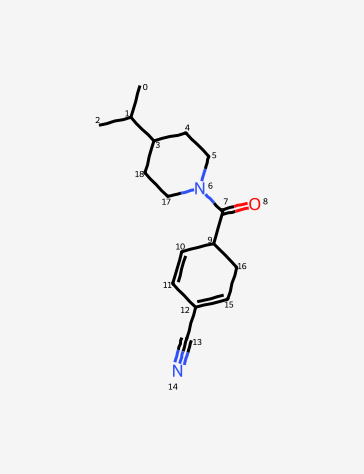 CC(C)C1CCN(C(=O)C2C=CC(C#N)=CC2)CC1